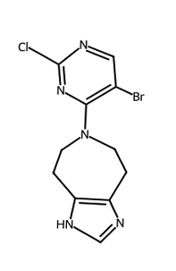 Clc1ncc(Br)c(N2CCc3nc[nH]c3CC2)n1